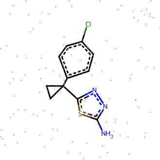 Nc1nnc(C2(c3ccc(Cl)cc3)CC2)s1